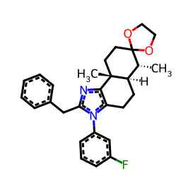 C[C@@H]1[C@H]2CCc3c(nc(Cc4ccccc4)n3-c3cccc(F)c3)[C@]2(C)CCC12OCCO2